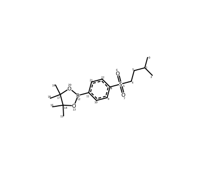 CC(C)CCS(=O)(=O)c1ccc(B2OC(C)(C)C(C)(C)O2)cc1